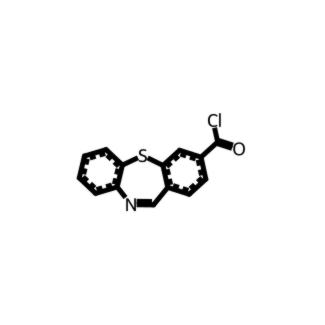 O=C(Cl)c1ccc2c(c1)Sc1ccccc1N=C2